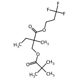 CCC(C)(COC(=O)C(C)(C)C)C(=O)OCCC(F)(F)F